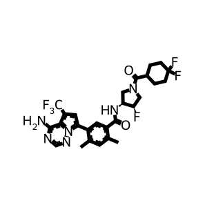 Cc1cc(C)c(-c2cc(C(F)(F)F)c3c(N)ncnn23)cc1C(=O)N[C@@H]1CN(C(=O)C2CCC(F)(F)CC2)C[C@@H]1F